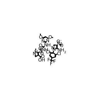 COc1cc(OC)nc(NC(=O)NS(=O)(=O)c2c(C(=O)O)cnn2C)n1.Nc1c([N+](=O)[O-])cnn1-c1c(Cl)cc(C(F)(F)F)cc1Cl